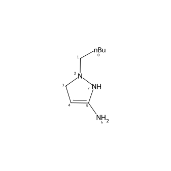 CCCCCN1CC=C(N)N1